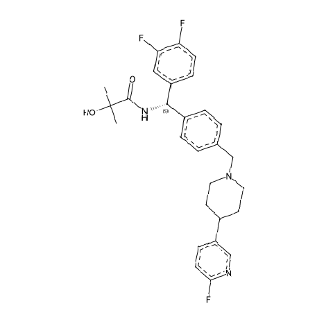 CC(C)(O)C(=O)N[C@@H](c1ccc(CN2CCC(c3ccc(F)nc3)CC2)cc1)c1ccc(F)c(F)c1